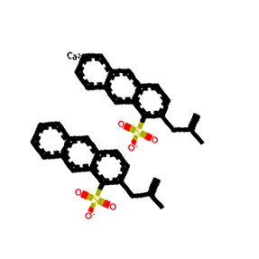 C=C(C)Cc1ccc2cc3ccccc3cc2c1S(=O)(=O)[O-].C=C(C)Cc1ccc2cc3ccccc3cc2c1S(=O)(=O)[O-].[Ca+2]